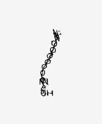 C[Si](C)(O)CSc1ncc(COCCOCCOCCOCCOCCOCCN=[N+]=[N-])cn1